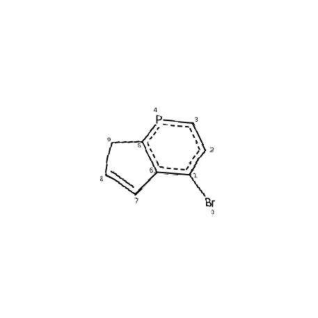 Brc1ccpc2c1C=CC2